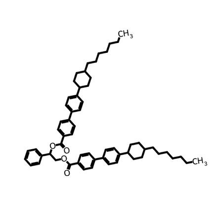 CCCCCCCC1CCC(c2ccc(-c3ccc(C(=O)OCC(OC(=O)c4ccc(-c5ccc(C6CCC(CCCCCCC)CC6)cc5)cc4)c4ccccc4)cc3)cc2)CC1